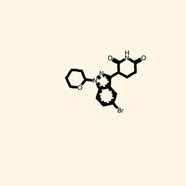 O=C1CCC(c2nn(C3CCCCO3)c3ccc(Br)cc23)C(=O)N1